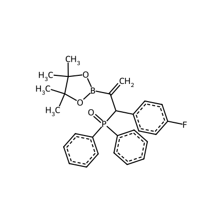 C=C(B1OC(C)(C)C(C)(C)O1)C(c1ccc(F)cc1)P(=O)(c1ccccc1)c1ccccc1